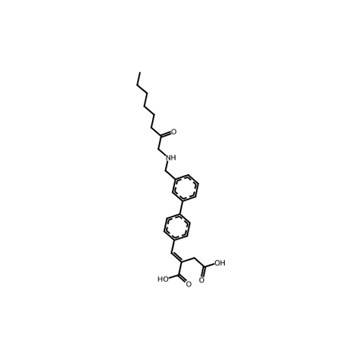 CCCCCCC(=O)CNCc1cccc(-c2ccc(/C=C(\CC(=O)O)C(=O)O)cc2)c1